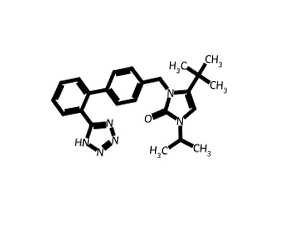 CC(C)n1cc(C(C)(C)C)n(Cc2ccc(-c3ccccc3-c3nnn[nH]3)cc2)c1=O